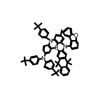 Cc1cc2c3c(c1)N(c1cccc4oc5ccccc5c14)c1cc4c(cc1B3c1cc(N(c3ccc(C(C)(C)C)cc3)c3ccc(C(C)(C)C)cc3)ccc1N2c1ccc(C(C)(C)C)cc1)C(C)(C)c1ccccc1C4(C)C